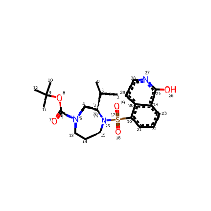 CC(C)[C@@H]1CN(C(=O)OC(C)(C)C)CCCN1S(=O)(=O)c1cccc2c(O)nccc12